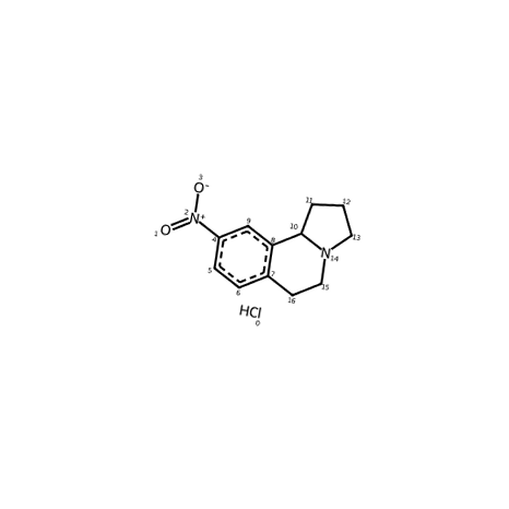 Cl.O=[N+]([O-])c1ccc2c(c1)C1CCCN1CC2